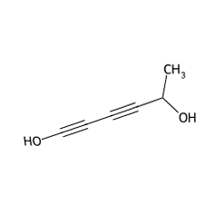 CC(O)C#CC#CO